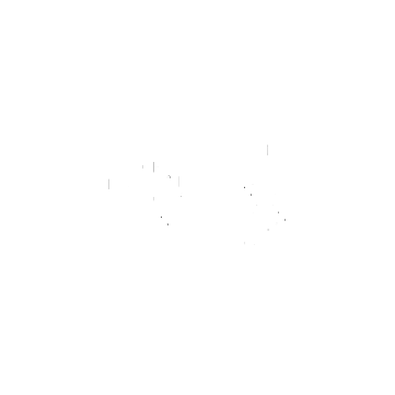 COc1ccc2ncc3c(c2n1)CC(C[C@H]1CC[C@H](NC(=O)OC(C)(C)C)CC1)O3